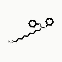 CCCCCCCCCCP(Sc1ccccc1)Sc1ccccc1